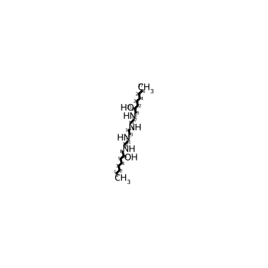 CCCCCCC(O)CNCCNCCNCCNCC(O)CCCCCC